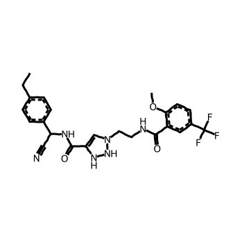 CCc1ccc(C(C#N)NC(=O)C2=CN(CCNC(=O)c3cc(C(F)(F)F)ccc3OC)NN2)cc1